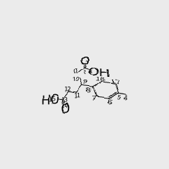 CC(=O)O.CC1=CCC(C(C)CCC(=O)O)CC1